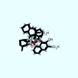 Cc1ccc2c(NC(=O)Nc3c4ccc(C)c3S(=O)(=O)N4c3c(O)c(S(=O)(=O)O)cc4ccccc34)c1S(=O)(=O)N2c1c(O)c(S(=O)(=O)O)cc2ccccc12